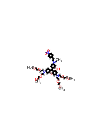 CCN(CCc1ccc([N+](=O)[O-])cc1)c1ccc(-c2c3ccc(=[N+](CCOCCOC)CCOCCOC)cc-3oc3cc(N(CCOCCOC)CCOCCOC)ccc23)c(O)c1